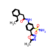 C=Cc1ccccc1CC(=O)Nc1ccc(-c2nnc(C)o2)c(S(N)(=O)=O)c1